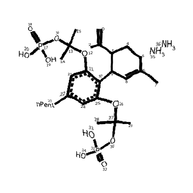 C=C(C)C1CCC(C)=CC1c1c(OC(C)(C)OP(=O)(O)O)cc(CCCCC)cc1OC(C)(C)OP(=O)(O)O.N.N